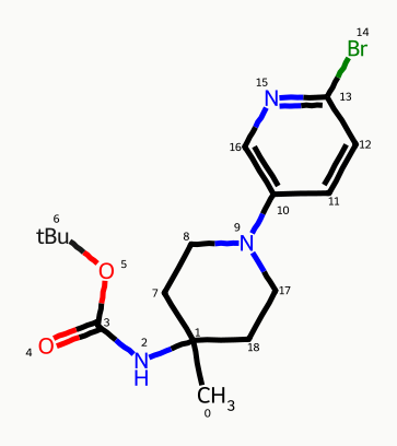 CC1(NC(=O)OC(C)(C)C)CCN(c2ccc(Br)nc2)CC1